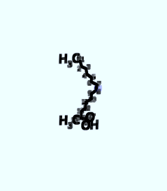 CCCCCCC/C=C\CCCCCC(C)C(=O)O